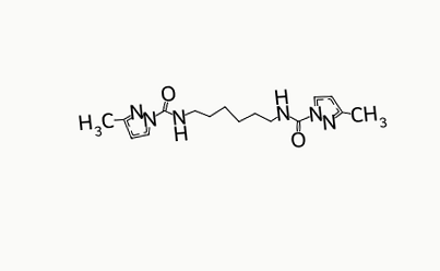 Cc1ccn(C(=O)NCCCCCCNC(=O)n2ccc(C)n2)n1